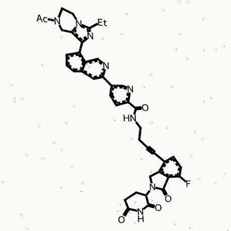 CCc1nc(-c2cccc3cc(-c4ccc(C(=O)NCCC#Cc5ccc(F)c6c5CN(C5CCC(=O)NC5=O)C6=O)nc4)ncc23)c2n1CCN(C(C)=O)C2